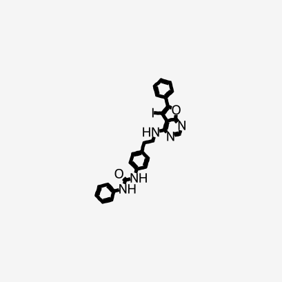 O=C(Nc1ccccc1)Nc1ccc(CCNc2ncnc3oc(-c4ccccc4)c(I)c23)cc1